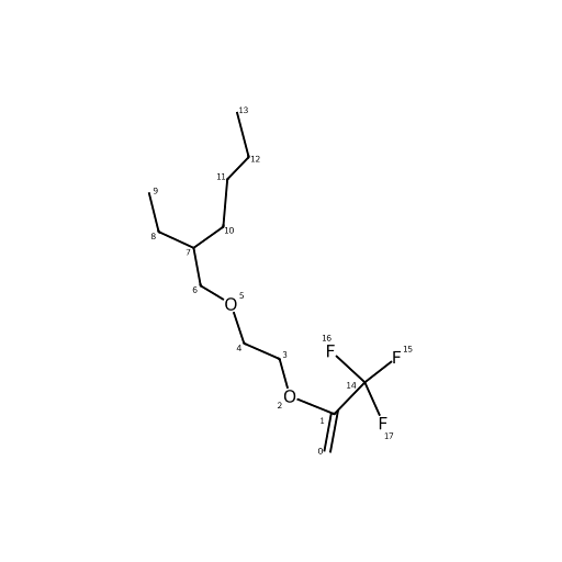 C=C(OCCOCC(CC)CCCC)C(F)(F)F